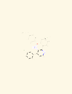 CO[C@H]1CC[C@H](C(=O)Nc2c(-c3cc(F)ccc3F)ccnc2C2CCC(F)(F)CC2)CC1